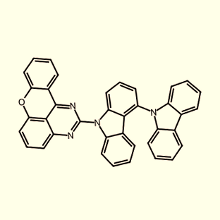 c1ccc2c(c1)Oc1cccc3nc(-n4c5ccccc5c5c(-n6c7ccccc7c7ccccc76)cccc54)nc-2c13